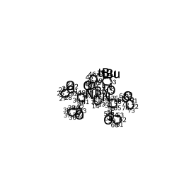 CC(C)(C)c1ccc2oc3c(c2c1)B1c2c(cccc2N(c2cc(-c4coc5ccccc45)cc(-c4coc5ccccc45)c2)c2oc4ccc(C(C)(C)C)cc4c21)N3c1cc(-c2coc3ccccc23)cc(-c2coc3ccccc23)c1